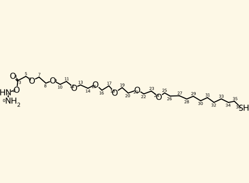 NNOC(=O)COCCOCCOCCOCCOCCOCCOCCCCCCCCCCCS